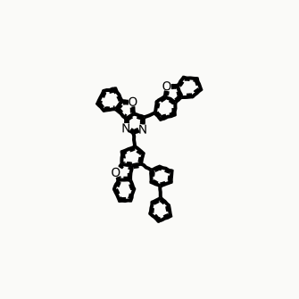 c1ccc(-c2cccc(-c3cc(-c4nc(-c5ccc6c(c5)oc5ccccc56)c5oc6ccccc6c5n4)cc4oc5ccccc5c34)c2)cc1